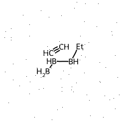 BBBCC.C#C